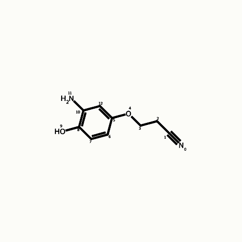 N#CCCOc1ccc(O)c(N)c1